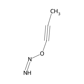 CC#CON=N